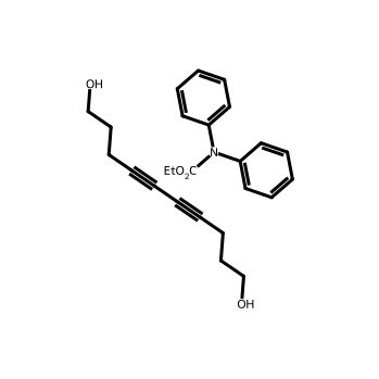 CCOC(=O)N(c1ccccc1)c1ccccc1.OCCCC#CC#CCCCO